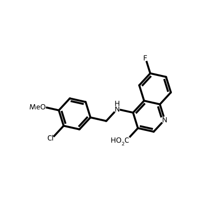 COc1ccc(CNc2c(C(=O)O)cnc3ccc(F)cc23)cc1Cl